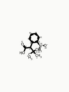 CC(C)(C)C(C(=O)O)c1ccccc1[N+](=O)[O-]